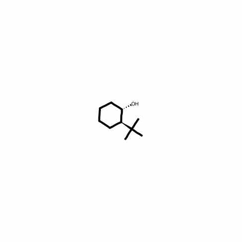 CC(C)(C)[C@H]1CCCC[C@@H]1O